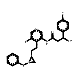 CC(C)C(CC(=O)Nc1cncc(F)c1CC[C@H]1CN1Sc1ccccc1)c1ccc(Cl)cc1